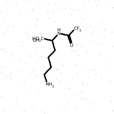 NCCCCC(NC(=O)C(F)(F)F)C(=O)O.[LiH]